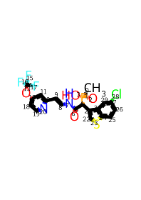 CP(=O)(O)C(C(=O)N/C=C/c1cc(OC(F)(F)F)ccn1)c1csc2ccc(Cl)cc12